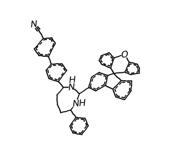 N#Cc1ccc(-c2ccc(C3CCCC(c4ccccc4)NC(c4ccc5c(c4)-c4ccccc4C54c5ccccc5Oc5ccccc54)N3)cc2)cc1